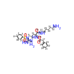 Cc1ccc(S(=O)(=O)N(CCCC(NOC(=O)Cc2ccccc2)C(=O)NCCCCCCN)C(=N)N)cc1